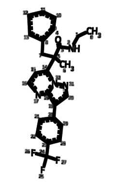 CCNC(=O)C(C)(Cc1ccccc1)c1ccnc2c(-c3ccc(C(F)(F)F)cc3)cnn12